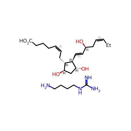 CC/C=C\C[C@H](O)/C=C/[C@@H]1[C@@H](C/C=C\CCCC(=O)O)[C@H](O)C[C@H]1O.N=C(N)NCCCCN